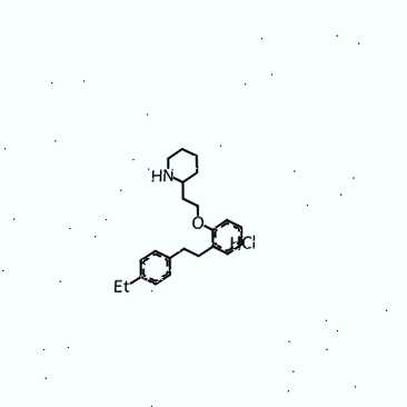 CCc1ccc(CCc2ccccc2OCCC2CCCCN2)cc1.Cl